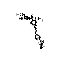 Cc1cc(OCCCC2CCN(c3noc(C(C)C)n3)CC2)ccc1C(=O)NCC(O)CO